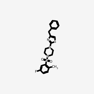 Cc1ccc(F)cc1S(=O)(=O)N1CCN(c2nc(Cc3ccccc3)cs2)CC1